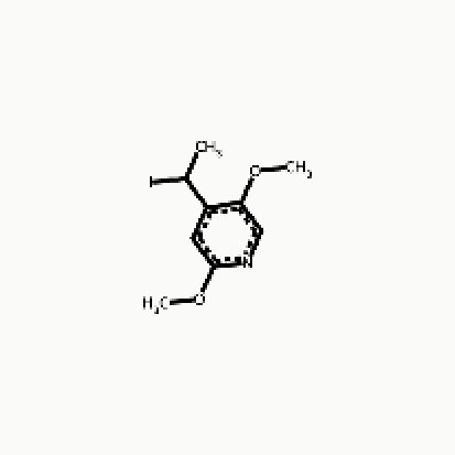 COc1cc(C(C)I)c(OC)cn1